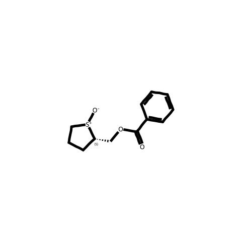 O=C(OC[C@@H]1CCC[S+]1[O-])c1ccccc1